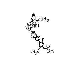 Cc1cc(-c2cc3sc(-c4cnn(C)c4NC(=O)O[C@H](C)c4ccccc4)cc3s2)c(F)cc1CC(=O)O